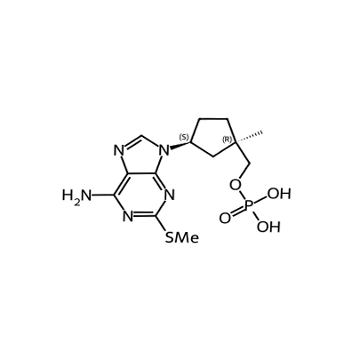 CSc1nc(N)c2ncn([C@H]3CC[C@@](C)(COP(=O)(O)O)C3)c2n1